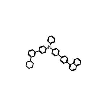 c1ccc(N(c2ccc(-c3ccc(-c4cccc5ccccc45)cc3)cc2)c2ccc(-c3cccc(C4CCCCC4)c3)cc2)cc1